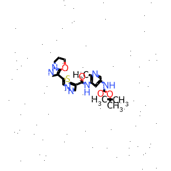 Cc1ncc(NC(=O)OC(C)(C)C)cc1NC(=O)c1cnn2cc(-c3cnn4c3OCCC4)sc12